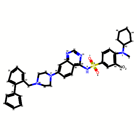 CN(c1ccc(S(=O)(=O)Nc2ncnc3cc(N4CCN(Cc5ccccc5-c5ccccc5)CC4)ccc23)cc1[N+](=O)[O-])C1CCCCC1